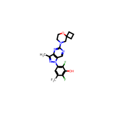 Cc1nn(-c2cc(C(F)(F)F)c(F)c(O)c2F)c2cnc(N3CCOC4(CCC4)C3)nc12